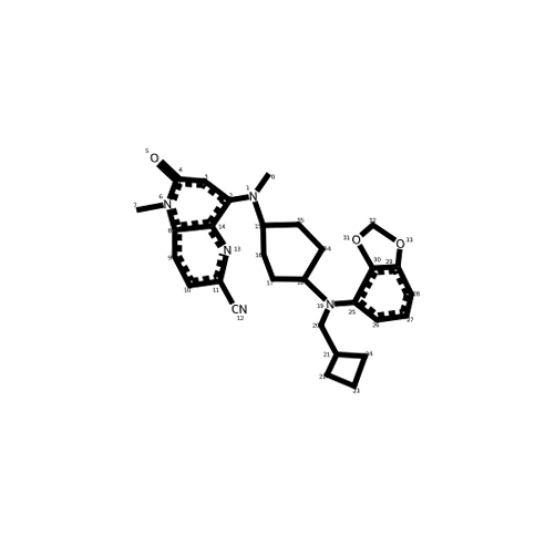 CN(c1cc(=O)n(C)c2ccc(C#N)nc12)C1CCC(N(CC2CCC2)c2cccc3c2OCO3)CC1